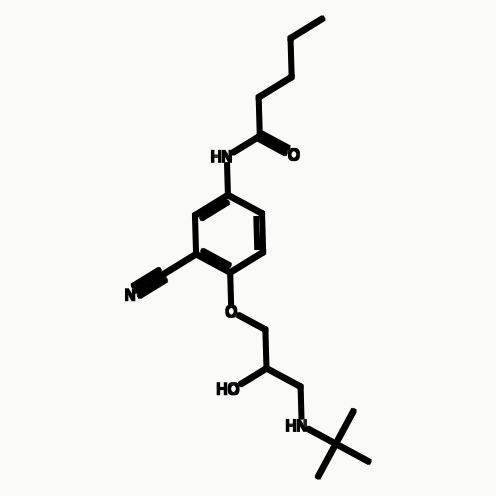 CCCCC(=O)Nc1ccc(OCC(O)CNC(C)(C)C)c(C#N)c1